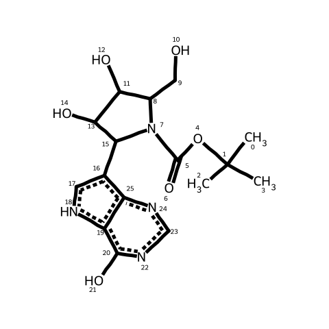 CC(C)(C)OC(=O)N1C(CO)C(O)C(O)C1c1c[nH]c2c(O)ncnc12